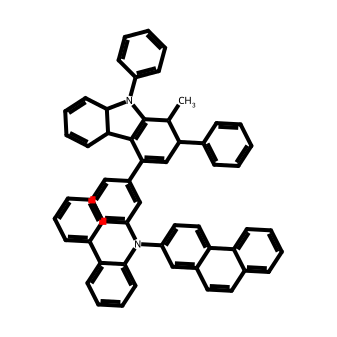 CC1C2=C(C(c3cccc(N(c4ccc5c(ccc6ccccc65)c4)c4ccccc4-c4ccccc4)c3)=CC1c1ccccc1)C1C=CC=CC1N2c1ccccc1